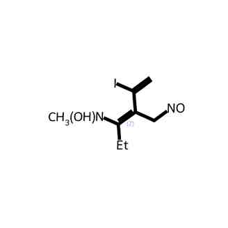 C=C(I)/C(CN=O)=C(/CC)N(C)O